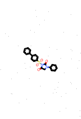 O=C1CN(c2ccccc2)C(=O)N1S(=O)(=O)c1ccc(-c2ccccc2)cc1